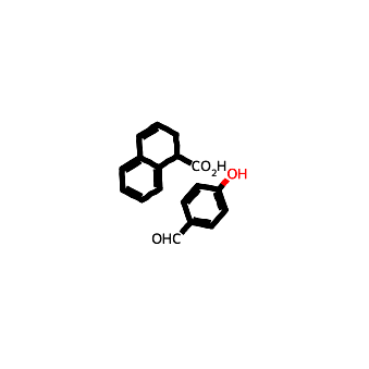 O=C(O)C1CC=Cc2ccccc21.O=Cc1ccc(O)cc1